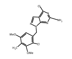 COc1cc(Cn2ncc3c(Cl)nc(N)nc32)c(Cl)c(OC)c1C